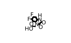 O=C(O)Cn1c(=O)c(=O)[nH]c2cc(F)c(F)cc21